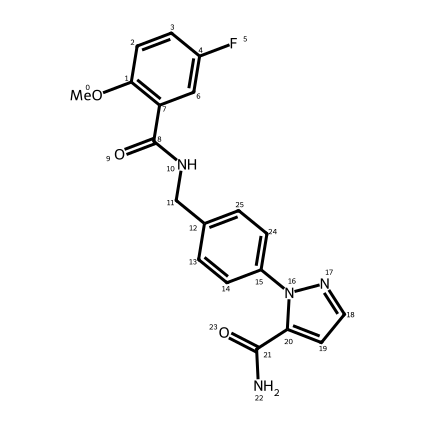 COc1ccc(F)cc1C(=O)NCc1ccc(-n2nccc2C(N)=O)cc1